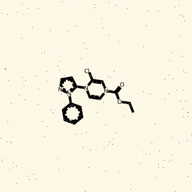 CCOC(=O)N1C=CN(c2ccnn2-c2ccccc2)C(Cl)=C1